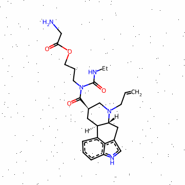 C=CCN1C[C@H](C(=O)N(CCCOC(=O)CN)C(=O)NCC)C[C@@H]2c3cccc4[nH]cc(c34)C[C@H]21